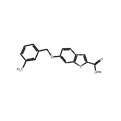 COC(=O)c1cc2ccc(OCc3cccc(C)c3)cc2s1